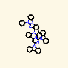 c1ccc(-n2c3ccccc3n3c4ccc5c6ccccc6n(-c6ccccc6-c6cc(-n7c8ccccc8c8ccccc87)nc(-n7c8ccccc8c8ccccc87)n6)c5c4nc23)cc1